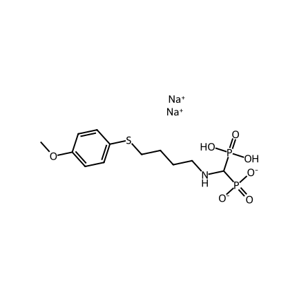 COc1ccc(SCCCCNC(P(=O)([O-])[O-])P(=O)(O)O)cc1.[Na+].[Na+]